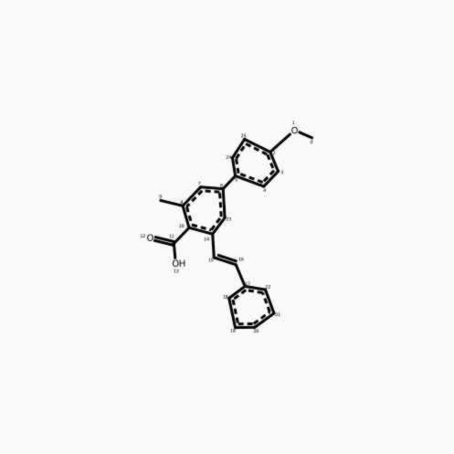 COc1ccc(-c2cc(C)c(C(=O)O)c(C=Cc3ccccc3)c2)cc1